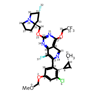 COCOc1cc(Cl)c([C@H]2C[C@H]2C)c(-c2ncc3c(OCC(F)(F)F)nc(OC[C@@]45CCCN4C[C@H](F)C5)nc3c2F)c1